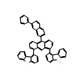 CCn1c2ccccc2c2c(-c3cccc4c(-c5ccc6ccc(-c7ccccc7)cc6c5)c5cccc(-c6cccc7c6c6ccccc6n7CC)c5cc34)cccc21